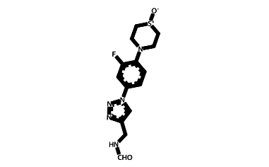 O=CNCc1cn(-c2ccc(N3CC[S+]([O-])CC3)c(F)c2)nn1